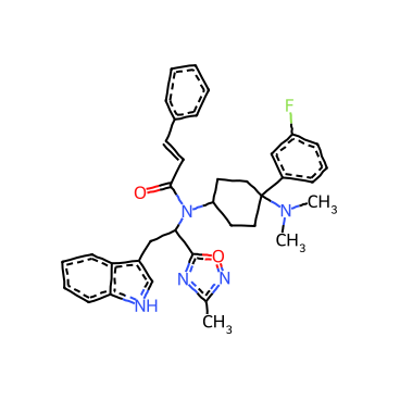 Cc1noc(C(Cc2c[nH]c3ccccc23)N(C(=O)C=Cc2ccccc2)C2CCC(c3cccc(F)c3)(N(C)C)CC2)n1